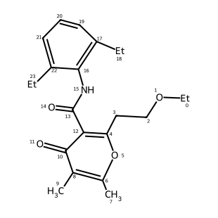 CCOCCc1oc(C)c(C)c(=O)c1C(=O)Nc1c(CC)cccc1CC